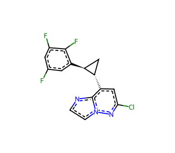 Fc1cc(F)c(F)c([C@H]2C[C@@H]2c2cc(Cl)nn3ccnc23)c1